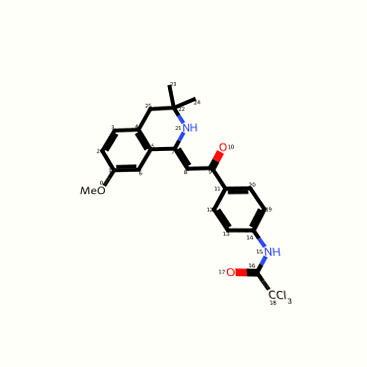 COc1ccc2c(c1)C(=CC(=O)c1ccc(NC(=O)C(Cl)(Cl)Cl)cc1)NC(C)(C)C2